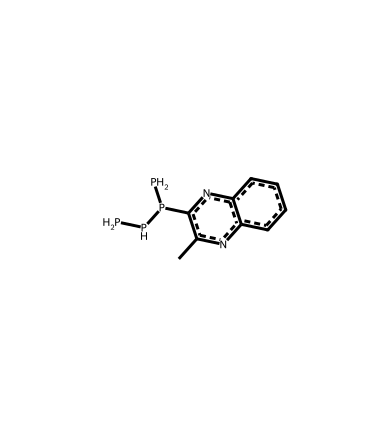 Cc1nc2ccccc2nc1P(P)PP